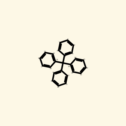 [c]1ccccc1C(c1ccccc1)(c1ccccc1)c1ccccc1